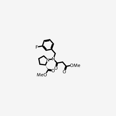 COC(=O)CC(=O)N(Cc1cccc(F)c1)N1CCC[C@H]1C(=O)OC